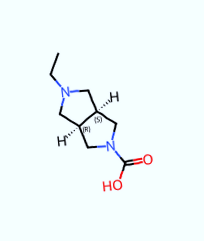 CCN1C[C@@H]2CN(C(=O)O)C[C@@H]2C1